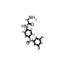 Cc1cc(C)cc([S+]([O-])c2ccc(NC(=O)CN)cc2)c1